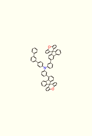 c1ccc(-c2cccc(-c3ccc(N(c4cccc(-c5ccc6c(c5)-c5ccccc5C65c6ccccc6Oc6ccccc65)c4)c4cccc(-c5cccc6c5-c5ccccc5C65c6ccccc6Oc6ccccc65)c4)cc3)c2)cc1